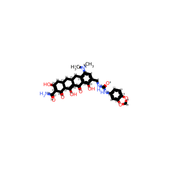 CN(C)c1cc(CNC(=O)Nc2ccc3c(c2)OCO3)c(O)c2c1CC1CC3CC(O)=C(C(N)=O)C(=O)C3C(O)=C1C2=O